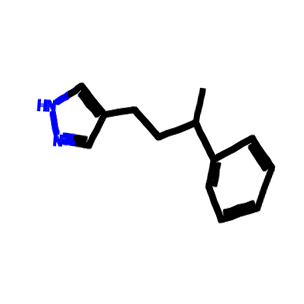 CC(CCc1cn[nH]c1)c1ccccc1